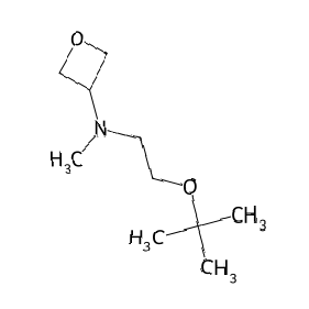 CN(CCOC(C)(C)C)C1COC1